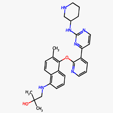 Cc1ccc2c(NCC(C)(C)O)cccc2c1Oc1ncccc1-c1ccnc(NC2CCCNC2)n1